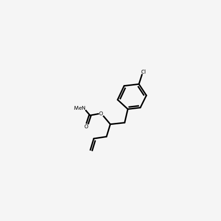 C=CCC(Cc1ccc(Cl)cc1)OC(=O)NC